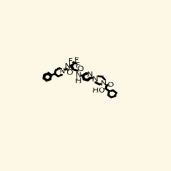 O=C(Nc1ccc(N2CCCN(C(=O)[C@H](O)C3CCCCC3)CC2)nc1)c1oc(N2CCC(c3ccccc3)CC2)nc1C(F)(F)F